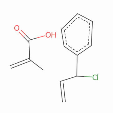 C=C(C)C(=O)O.C=CC(Cl)c1ccccc1